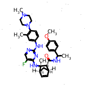 COc1ccc(C(C)NC(=O)[C@@H]2[C@H]3C=C[C@H](C3)[C@@]2(C)Nc2nc(Nc3ccc(N4CCN(C)CC4)c(C)c3)ncc2F)cc1